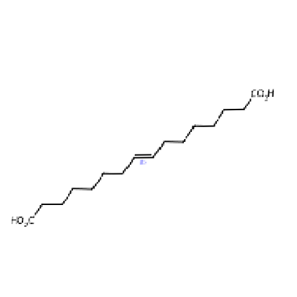 O=C(O)CCCCCC/C=C/CCCCCCC(=O)O